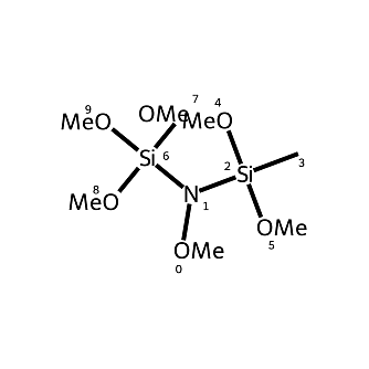 CON([Si](C)(OC)OC)[Si](OC)(OC)OC